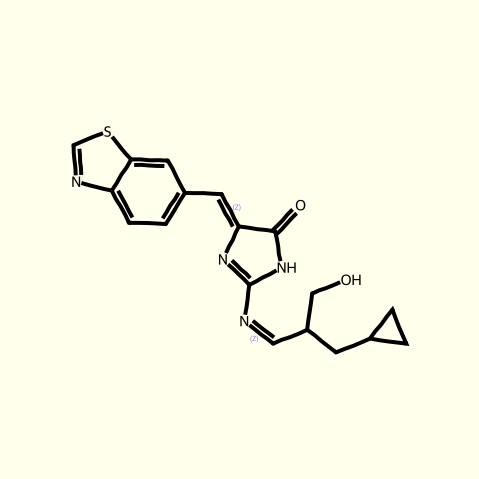 O=C1NC(/N=C\C(CO)CC2CC2)=NC/1=C\c1ccc2ncsc2c1